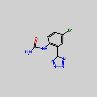 NC(=O)Nc1ccc(Br)cc1C1N=NN=N1